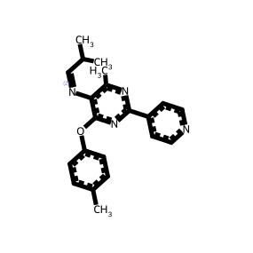 Cc1ccc(Oc2nc(-c3ccncc3)nc(C)c2/N=C\C(C)C)cc1